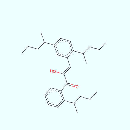 CCCC(C)c1ccc(C(C)CCC)c(C=C(O)C(=O)c2ccccc2C(C)CCC)c1